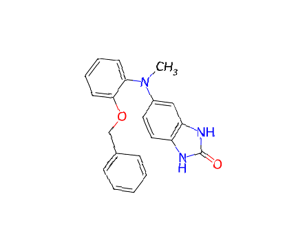 CN(c1ccc2[nH]c(=O)[nH]c2c1)c1ccccc1OCc1ccccc1